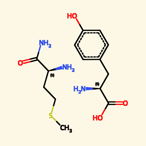 CSCC[C@H](N)C(N)=O.N[C@@H](Cc1ccc(O)cc1)C(=O)O